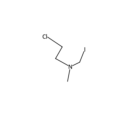 CN(CI)CCCl